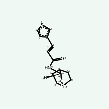 O=C(/C=C/c1ccsc1)N[C@H]1CN2CCC1CC2